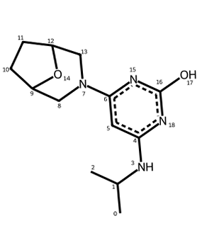 CC(C)Nc1cc(N2CC3CCC(C2)O3)nc(O)n1